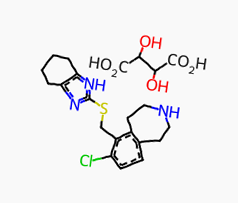 Clc1ccc2c(c1CSc1nc3c([nH]1)CCCC3)CCNCC2.O=C(O)C(O)C(O)C(=O)O